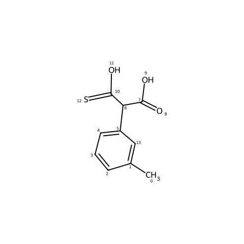 Cc1cccc(C(C(=O)O)C(O)=S)c1